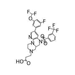 O=C(O)CCN1CCN2c3ncc(-c4cc(F)cc(OC(F)F)c4)cc3N(S(=O)(=O)c3cccc(C(F)(F)F)c3)CC2C1